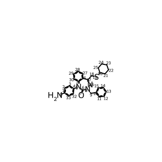 Nc1ccc(N2C(=O)N(Cc3ccccc3)N=C(CSC3CCCCC3)c3ccccc32)cc1